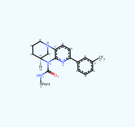 CCCCCNC(=O)N1c2nc(-c3cccc(C(F)(F)F)c3)ccc2N2CCC[C@H]1C2